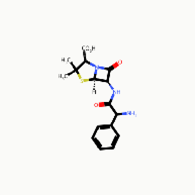 CC1(C)S[C@@H]2[C@H](NC(=O)C(N)c3ccccc3)C(=O)N2C1C(=O)O